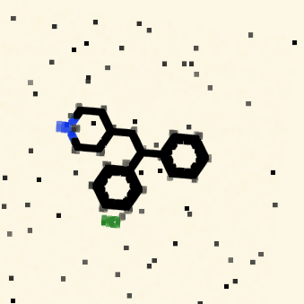 Cl.c1ccc(C(CC2CCNCC2)c2ccccc2)cc1